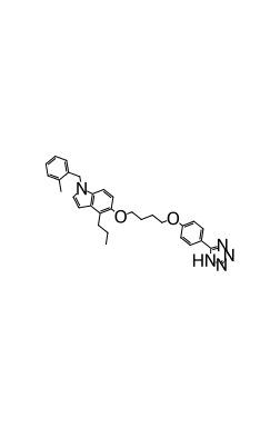 CCCc1c(OCCCCOc2ccc(-c3nnn[nH]3)cc2)ccc2c1ccn2Cc1ccccc1C